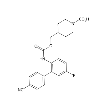 N#Cc1ccc(-c2cc(F)ccc2NC(=O)OCC2CCN(C(=O)O)CC2)cc1